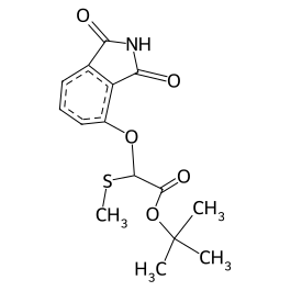 CSC(Oc1cccc2c1C(=O)NC2=O)C(=O)OC(C)(C)C